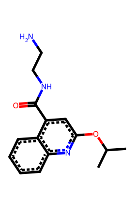 CC(C)Oc1cc(C(=O)NCCN)c2ccccc2n1